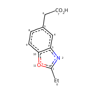 CCc1nc2cc(CC(=O)O)ccc2o1